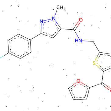 Cn1nc(-c2ccc(F)cc2)cc1C(=O)NCc1ccc(C(=O)c2ccco2)s1